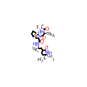 CC1(C)CCC(CC(C#N)NC(=O)C2C[Si]3(CCCC3)CN2C(=O)[C@@H](NC(=O)C(F)(F)F)C(C)(C)C)C(=O)N1